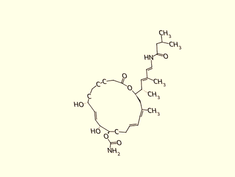 CC(/C=C/NC(=O)CC(C)C)=C\[C@H](C)[C@H]1C/C(C)=C/C=C/CC[C@@H](OC(N)=O)[C@H](O)/C=C/[C@H](O)CCCCCC(=O)O1